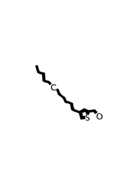 CCCCCCCCCCC=Cc1csc(C=O)c1